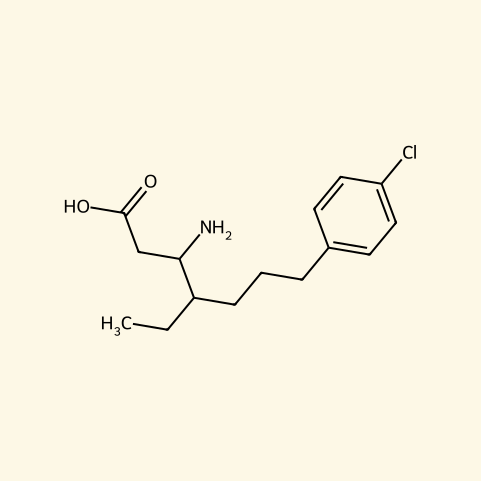 CCC(CCCc1ccc(Cl)cc1)C(N)CC(=O)O